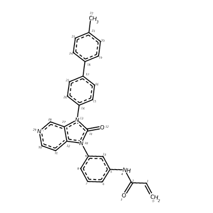 C=CC(=O)Nc1cccc(-n2c(=O)n(-c3ccc(-c4ccc(C)cc4)cc3)c3cnccc32)c1